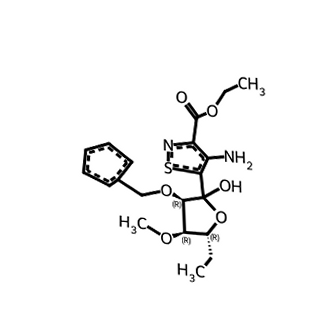 CCOC(=O)c1nsc(C2(O)O[C@H](CC)[C@@H](OC)[C@H]2OCc2ccccc2)c1N